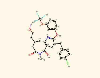 CN1C(=O)CC(CCOI)CC2=C(CC(Cc3ccc(Cl)cc3)C(Oc3cccc(OC(F)(F)F)c3)=N2)C1=O